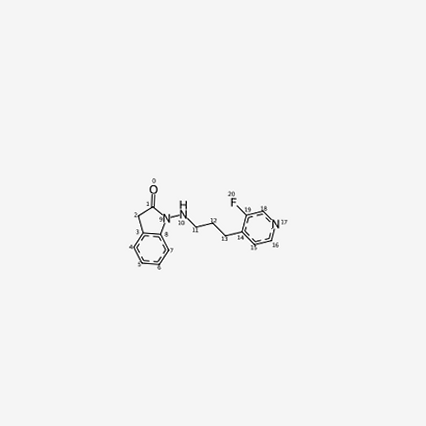 O=C1Cc2ccccc2N1NCCCc1ccncc1F